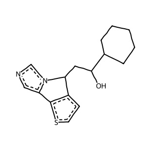 OC(CC1c2ccsc2-c2cncn21)C1CCCCC1